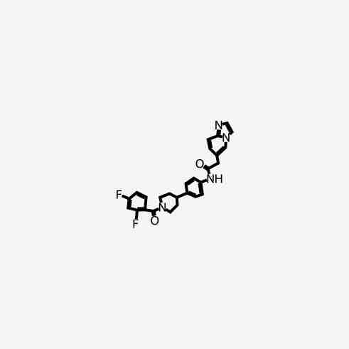 O=C(Cc1ccc2nccn2c1)Nc1ccc(C2CCN(C(=O)c3ccc(F)cc3F)CC2)cc1